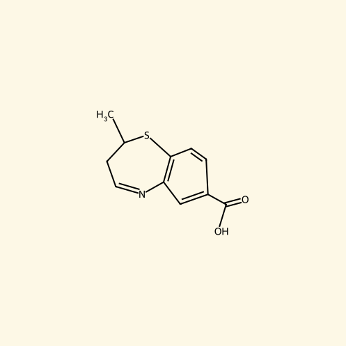 CC1CC=Nc2cc(C(=O)O)ccc2S1